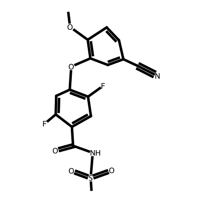 COc1ccc(C#N)cc1Oc1cc(F)c(C(=O)NS(C)(=O)=O)cc1F